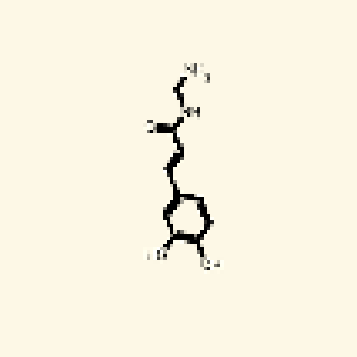 NCNC(=O)/C=C/c1ccc(O)c(O)c1